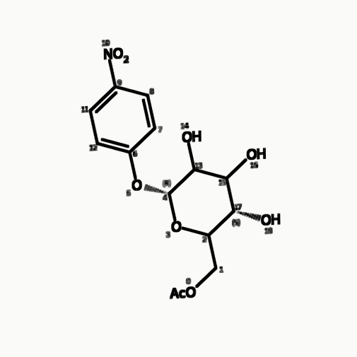 CC(=O)OCC1O[C@H](Oc2ccc([N+](=O)[O-])cc2)C(O)C(O)[C@@H]1O